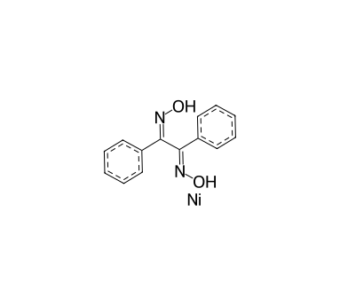 ON=C(C(=NO)c1ccccc1)c1ccccc1.[Ni]